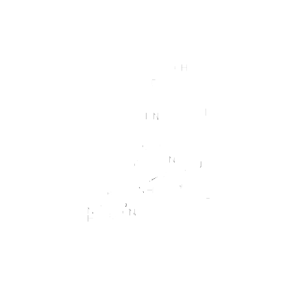 Cc1cc(F)c2cc(C(=O)N3C[C@H]4CC(F)(F)C[C@H]4[C@H]3C(=O)N[C@@H](C#N)C[C@H]3CCCNC3=O)[nH]c2c1F